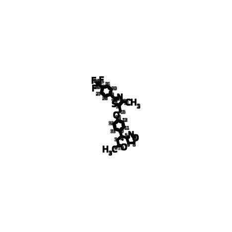 CC(=O)CC(C1=NOCC1)c1ccc(OCc2sc(-c3ccc(C(F)(F)F)cc3)nc2C)cc1